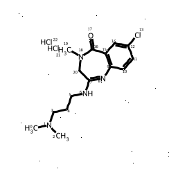 CN(C)CCCNC1=Nc2ccc(Cl)cc2C(=O)N(C)C1.Cl.Cl